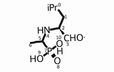 CC(C)C[C@@H]([C]=O)NC(C)P(=O)(O)O